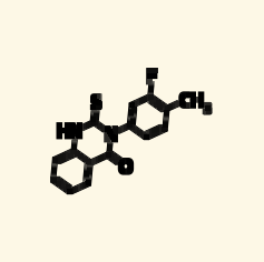 Cc1ccc(-n2c(=S)[nH]c3ccccc3c2=O)cc1F